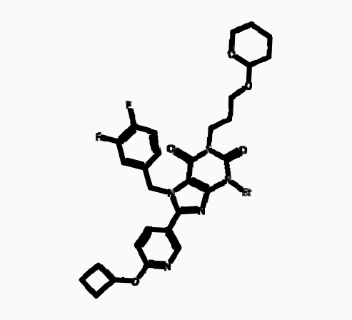 CCn1c(=O)n(CCCOC2CCCCO2)c(=O)c2c1nc(-c1ccc(OC3CCC3)nc1)n2Cc1ccc(F)c(F)c1